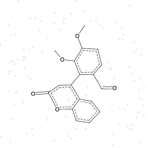 COc1ccc(C=O)c(-c2cc(=O)oc3ccccc23)c1OC